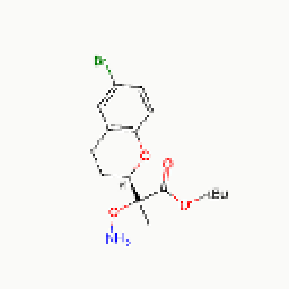 CC(C)(C)OC(=O)C(C)(ON)[C@H]1CCc2cc(Br)ccc2O1